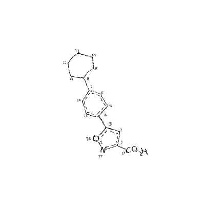 O=C(O)c1cc(-c2ccc(C3CCCCC3)cc2)on1